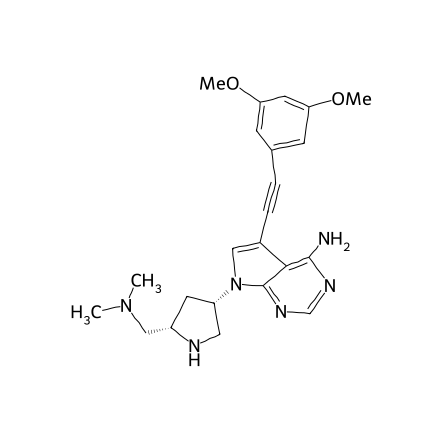 COc1cc(C#Cc2cn([C@@H]3CN[C@H](CN(C)C)C3)c3ncnc(N)c23)cc(OC)c1